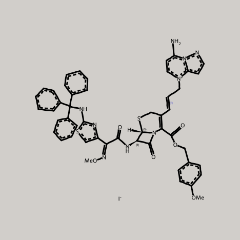 CON=C(C(=O)N[C@@H]1C(=O)N2C(C(=O)OCc3ccc(OC)cc3)=C(/C=C/C[n+]3ccc(N)n4nccc43)CS[C@@H]12)c1csc(NC(c2ccccc2)(c2ccccc2)c2ccccc2)n1.[I-]